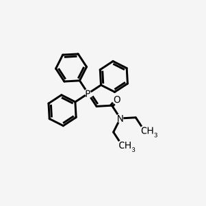 CCN(CC)C(=O)C=P(c1ccccc1)(c1ccccc1)c1ccccc1